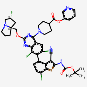 CC(C)(C)OC(=O)Nc1sc2c(F)ccc(-c3c(Cl)cc4c(N5CCC(C(=O)Oc6cccnc6)CC5)nc(OC[C@@]56CCCN5C[C@H](F)C6)nc4c3F)c2c1C#N